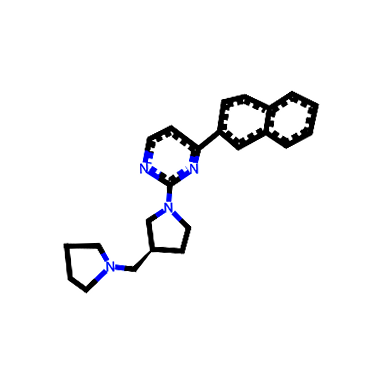 c1ccc2cc(-c3ccnc(N4CC[C@@H](CN5CCCC5)C4)n3)ccc2c1